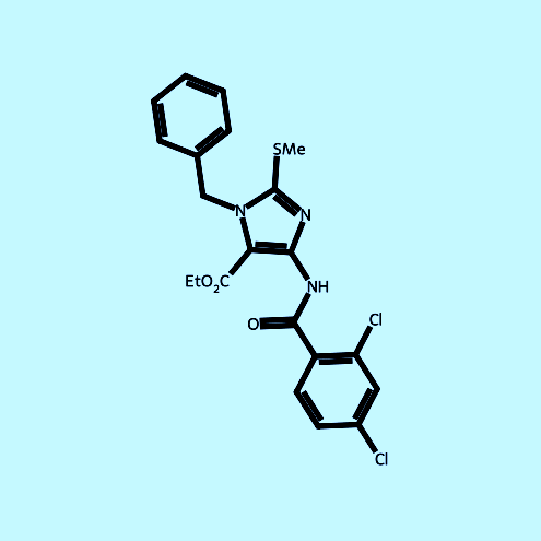 CCOC(=O)c1c(NC(=O)c2ccc(Cl)cc2Cl)nc(SC)n1Cc1ccccc1